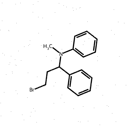 CN(c1ccccc1)C(CCBr)c1ccccc1